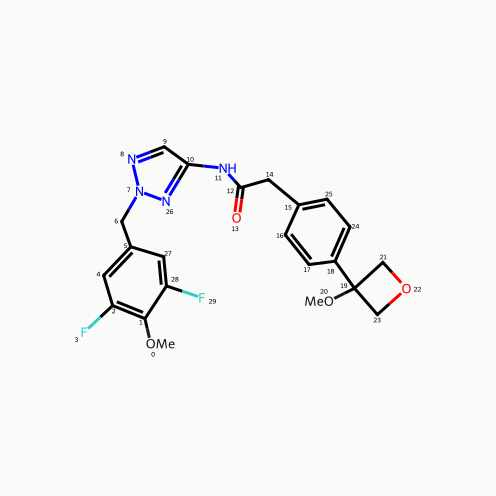 COc1c(F)cc(Cn2ncc(NC(=O)Cc3ccc(C4(OC)COC4)cc3)n2)cc1F